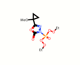 CCOOP(=O)(OOCC)n1nc(C2(OC)CC2)oc1=O